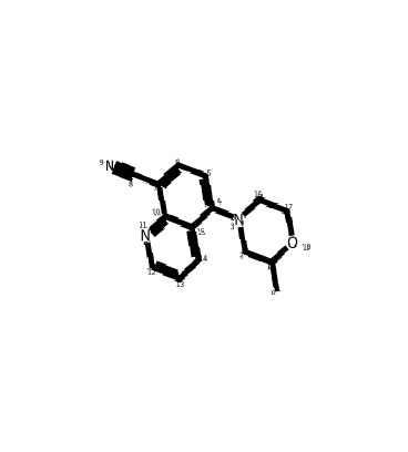 CC1CN(c2ccc(C#N)c3ncccc23)CCO1